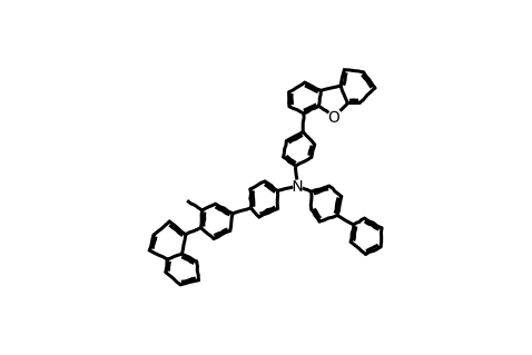 Cc1cc(-c2ccc(N(c3ccc(-c4ccccc4)cc3)c3ccc(-c4cccc5c4oc4ccccc45)cc3)cc2)ccc1-c1cccc2ccccc12